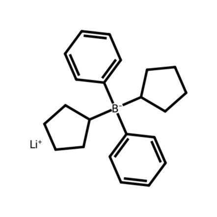 [Li+].c1ccc([B-](c2ccccc2)(C2CCCC2)C2CCCC2)cc1